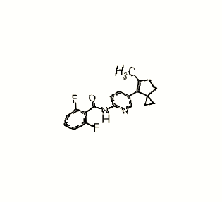 CC1=C(c2ccc(NC(=O)c3c(F)cccc3F)nc2)C2(CC1)CC2